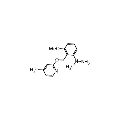 COc1cccc(N(C)N)c1COc1cc(C)ccn1